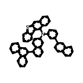 c1cc(-c2ccc3ccccc3c2)cc(N(c2ccc3c(-c4cc5ccccc5c5ccccc45)cccc3c2)c2c3ccccc3cc3sc4ccccc4c23)c1